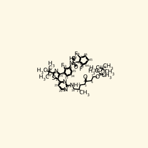 C[C@H](CCC(=O)CCO[Si](C)(C)C(C)(C)C)CNc1nccc(-c2sc(C(C)(C)C)nc2-c2cccc(NS(=O)(=O)c3c(F)cccc3F)c2F)n1